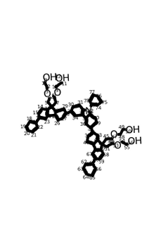 OCCOCCC1(CCOCCO)c2ccc(-c3ccccc3)cc2-c2ccc(-c3ccc4c(c3)c3cc(-c5ccc6c(c5)C(CCOCCO)(CCOCCO)c5ccc(-c7ccccc7)cc5-6)ccc3n4-c3ccccc3)cc21